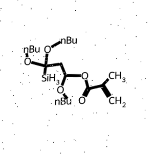 C=C(C)C(=O)OC(CC([SiH3])(OCCCC)OCCCC)OCCCC